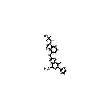 Cc1c(-c2ncco2)nc(N)c2nc(Cc3cccc4c3ncn4CC(C)(C)O)nn12